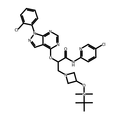 CC(C)(C)[Si](C)(C)OC1CN(CC(Oc2ncnc3c2cnn3-c2ccccc2Cl)C(=O)Nc2ccc(Cl)cn2)C1